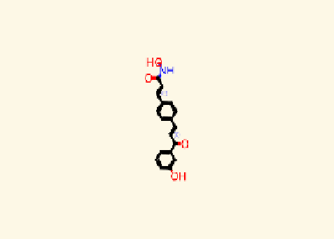 O=C(/C=C/c1ccc(/C=C/C(=O)c2cccc(O)c2)cc1)NO